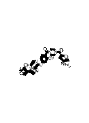 N[C@@H]1CO[C@H](C(=O)N2CCN(C(=O)c3ccc(Oc4nccn5c(-c6conc6C(F)(F)F)cnc45)cc3O)CC2)C1